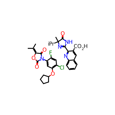 CC(C)=C1OC(=O)N(c2cc(OC3CCCC3)c(Cl)cc2F)C1=O.CC(C)C1(C)N=C(c2nc3ccccc3cc2C(=O)O)NC1=O